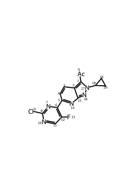 CC(=O)c1c2ccc(-c3nc(Cl)ncc3F)nc2nn1C1CC1